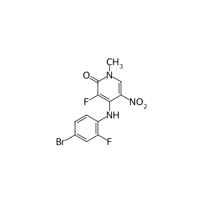 Cn1cc([N+](=O)[O-])c(Nc2ccc(Br)cc2F)c(F)c1=O